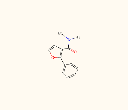 CCN(CC)C(=O)c1ccoc1-c1ccccc1